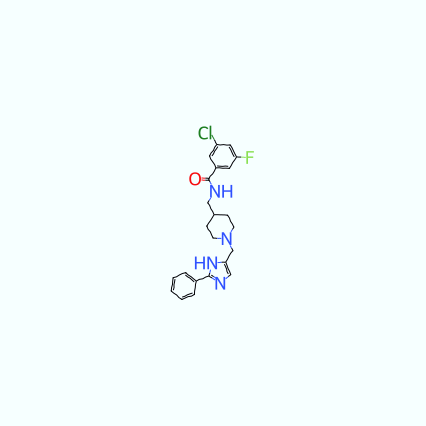 O=C(NCC1CCN(Cc2cnc(-c3ccccc3)[nH]2)CC1)c1cc(F)cc(Cl)c1